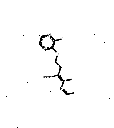 C/C=N\C(C)=C(\CCOc1nccnc1Cl)C(C)CCC